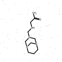 CC(=O)CNCN1CN2CCCN(C2)C1